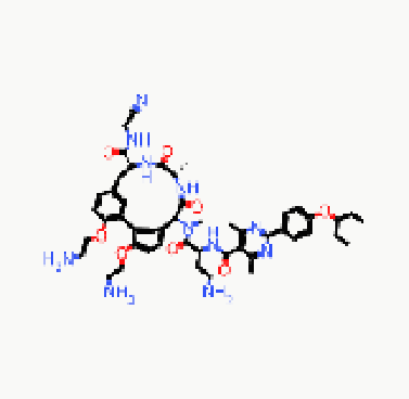 CCC(CC)Oc1ccc(-c2nc(C)c(C(=O)N[C@@H](CCN)C(=O)N(C)[C@@H]3C(=O)N[C@@H](C)C(=O)N[C@H](C(=O)NCC#N)Cc4ccc(OCCN)c(c4)-c4cc3ccc4OCCN)c(C)n2)cc1